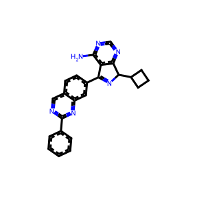 Nc1ncnc2c1C(c1ccc3cnc(-c4ccccc4)nc3c1)=NC2C1CCC1